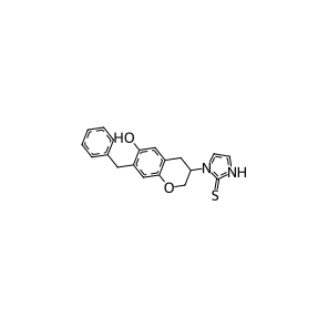 Oc1cc2c(cc1Cc1ccccc1)OCC(n1cc[nH]c1=S)C2